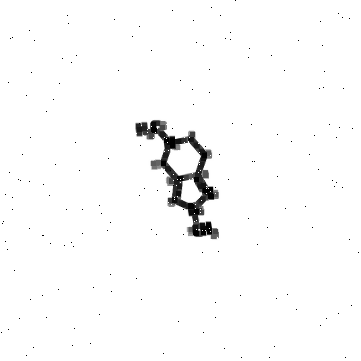 CN1CCc2nn(C)cc2C1